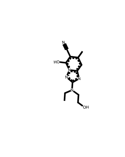 CCN(CCO)c1nc2cc(C)c(C#N)c(O)n2n1